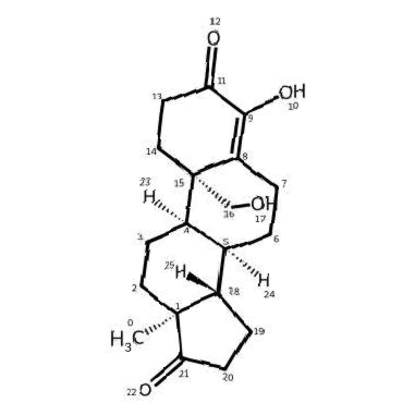 C[C@]12CC[C@@H]3[C@@H](CCC4=C(O)C(=O)CC[C@@]43CO)[C@@H]1CCC2=O